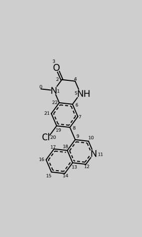 CN1C(=O)CNc2cc(-c3cncc4ccccc34)c(Cl)cc21